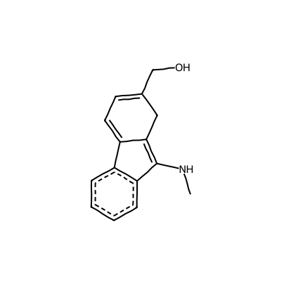 CNC1=C2CC(CO)=CC=C2c2ccccc21